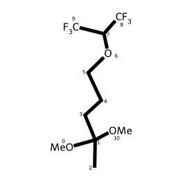 COC(C)(CCCOC(C(F)(F)F)C(F)(F)F)OC